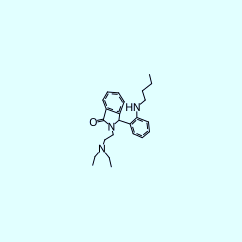 CCCCNc1ccccc1C1c2ccccc2C(=O)N1CCN(CC)CC